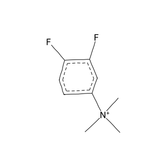 C[N+](C)(C)c1ccc(F)c(F)c1